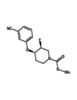 CC(C)(C)OC(=O)N1CC[C@@H](Oc2cccc(C#N)c2)[C@@H](F)C1